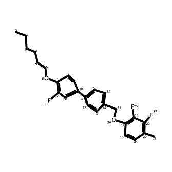 CCCCCCOc1ccc(-c2ccc(COc3ccc(C)c(F)c3F)cc2)cc1F